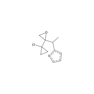 CC(c1ccco1)C1(C2(Cl)CC2)CO1